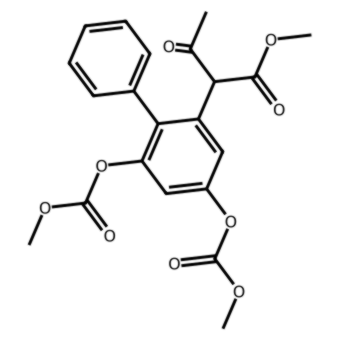 COC(=O)Oc1cc(OC(=O)OC)c(-c2ccccc2)c(C(C(C)=O)C(=O)OC)c1